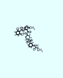 C=CC(=O)Nc1cccc(S(=O)(=O)N2CCC(NC(=O)c3c(NC(=O)c4c(Cl)cccc4Cl)cnn3C)CC2)c1